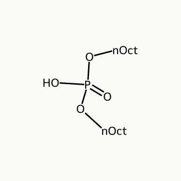 CCCCCCCCOP(=O)(O)OCCCCCCCC